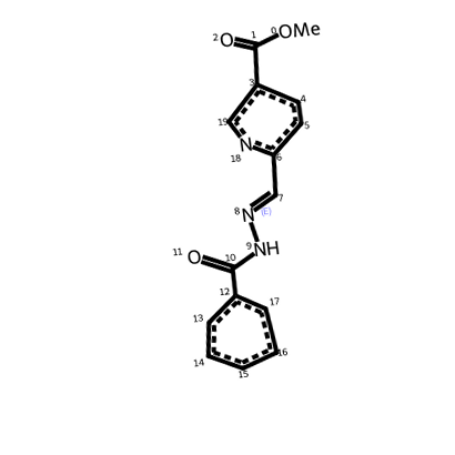 COC(=O)c1ccc(/C=N/NC(=O)c2ccccc2)nc1